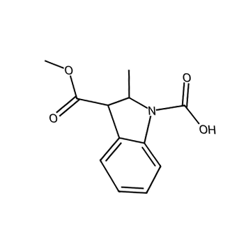 COC(=O)C1c2ccccc2N(C(=O)O)C1C